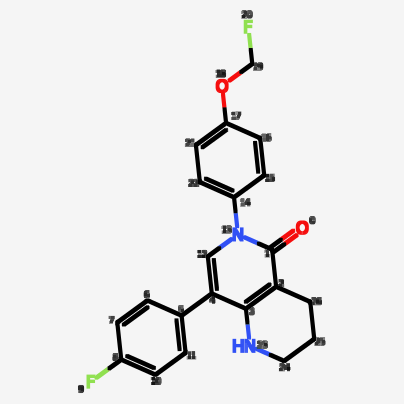 O=c1c2c(c(-c3ccc(F)cc3)cn1-c1ccc(OCF)cc1)NCCC2